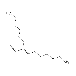 CCCCCC/C=C(/C=O)CCCCCC